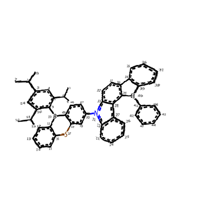 CC(C)c1cc(C(C)C)c(B2c3ccccc3Sc3cc(-n4c5ccccc5c5c6c(ccc54)-c4ccccc4B6c4ccccc4)ccc32)c(C(C)C)c1